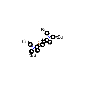 CC(C)(C)c1ccc(N(c2ccc(C(C)(C)C)cc2)c2cc3c(c4ccccc24)-c2ccc4c(sc5cc(N(c6ccc(C(C)(C)C)cc6)c6ccc(C(C)(C)C)cc6)c6ccccc6c54)c2C3(C)C)cc1